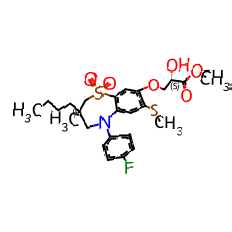 CCCC[C@]1(C)CN(c2ccc(F)cc2)c2cc(SC)c(OC[C@H](O)C(=O)OC)cc2S(=O)(=O)C1